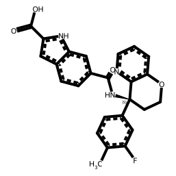 Cc1ccc([C@@]2(NC(=O)c3ccc4cc(C(=O)O)[nH]c4c3)CCOc3cccnc32)cc1F